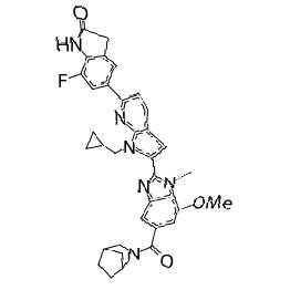 COc1cc(C(=O)N2CC3CCC2C3)cc2nc(-c3cc4ccc(-c5cc(F)c6c(c5)CC(=O)N6)nc4n3CC3CC3)n(C)c12